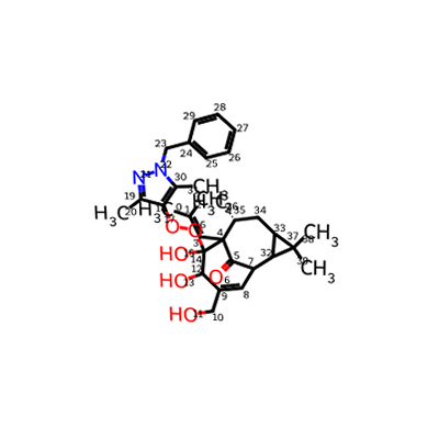 CC(C)=CC12C(=O)C(C=C(CO)C(O)C1(O)OOc1c(C)nn(Cc3ccccc3)c1C)C1C(C[C@H]2C)C1(C)C